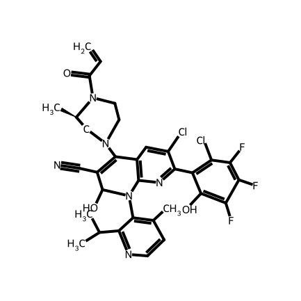 C=CC(=O)N1CCN(C2=C(C#N)C(O)N(c3c(C)ccnc3C(C)C)c3nc(-c4c(O)c(F)c(F)c(F)c4Cl)c(Cl)cc32)C[C@H]1C